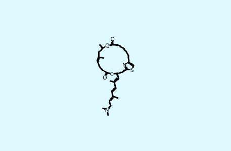 CC(/C=C/C(C)=C/C1Cc2nc(cs2)CCCCC(=O)OC(C)C/C(C)=C/CCC(=O)O1)=C\CN(C)C